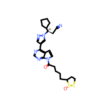 N#CC[C@H](C1CCCC1)n1cc(-c2ncnc3c2ccn3C(=O)CCCCC2CCS[S+]2[O-])cn1